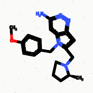 COc1ccc(Cn2c(CN3CCC[C@@H]3C)cc3nnc(N)cc32)cc1